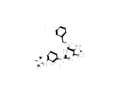 CS(=O)(=O)Nc1cccc(Nc2nc(NCc3cccc(O)c3)c3nc[nH]c3n2)c1